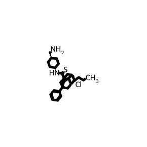 CCCC1(Cl)C2CC3(C(=S)N[C@H]4CC[C@H](CN)CC4)CC1CC(c1ccccc1)(C2)C3